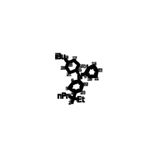 CCCC(C)(CC)c1ccc(N(c2ccccc2)C2CCC(C(C)CC)CC2)cc1